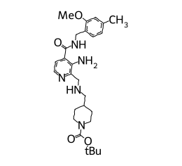 COc1cc(C)ccc1CNC(=O)c1ccnc(CNCC2CCN(C(=O)OC(C)(C)C)CC2)c1N